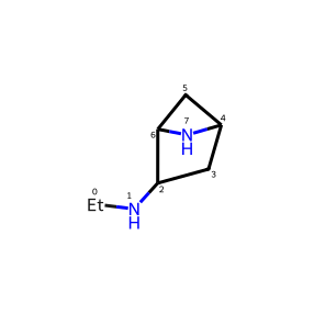 CCNC1CC2CC1N2